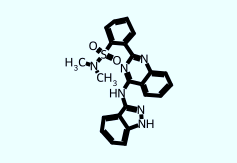 CN(C)S(=O)(=O)c1ccccc1-c1nc(Nc2n[nH]c3ccccc23)c2ccccc2n1